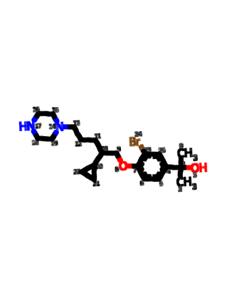 CC(C)(O)c1ccc(OCC(CCCN2CCNCC2)C2CC2)c(Br)c1